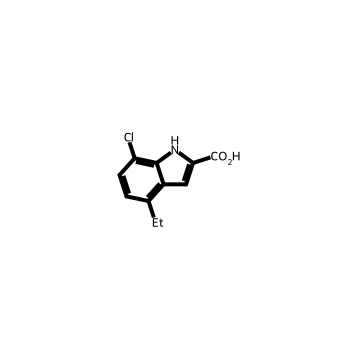 CCc1ccc(Cl)c2[nH]c(C(=O)O)cc12